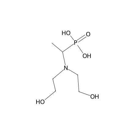 CC(N(CCO)CCO)P(=O)(O)O